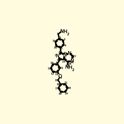 NCc1ccc(-c2nc(-c3cccc(OCc4ccccc4)c3)c3c(N)ncnn23)cc1